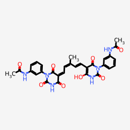 CC(=O)Nc1cccc(N2C(=O)NC(=O)C(=CC=C(C)C=Cc3c(O)[nH]c(=O)n(-c4cccc(NC(C)=O)c4)c3=O)C2=O)c1